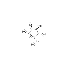 OC[C@@H]1O[C@@H](O)[C@@H](O)[C@@H](S)[C@@H]1O